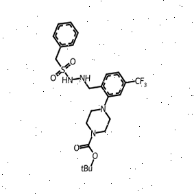 CC(C)(C)OC(=O)N1CCN(c2cc(C(F)(F)F)ccc2CNNS(=O)(=O)Cc2ccccc2)CC1